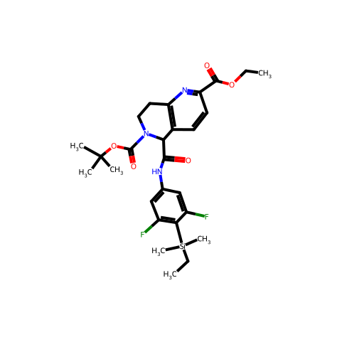 CCOC(=O)c1ccc2c(n1)CCN(C(=O)OC(C)(C)C)C2C(=O)Nc1cc(F)c([Si](C)(C)CC)c(F)c1